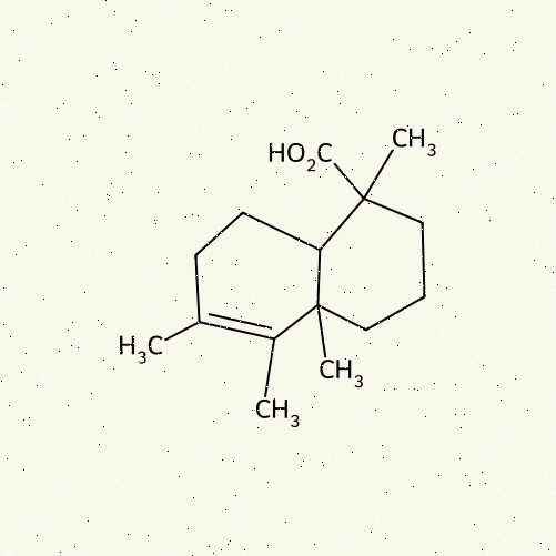 CC1=C(C)C2(C)CCCC(C)(C(=O)O)C2CC1